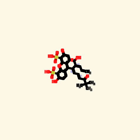 C=C\C=C(C(=O)O)/C(=C\C=C\C(=O)C(C)(C)C)c1c2ccc(=O)c(S(=O)(=O)O)c-2oc2c(S(=O)(=O)O)c(O)ccc12